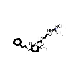 C/N=C(\N)NOCCNC(=O)Cn1c(C)ccc(NCCc2ccccc2)c1=O